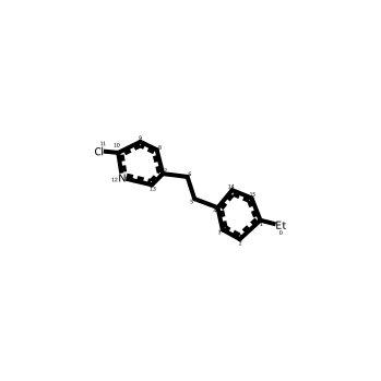 CCc1ccc(CCc2ccc(Cl)nc2)cc1